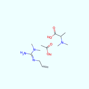 C=CCN=C(N)N(C)C.CC(=O)O.CC(C(=O)O)N(C)C